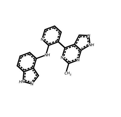 Cc1nc(-c2cccnc2Nc2cccc3[nH]ncc23)c2cn[nH]c2n1